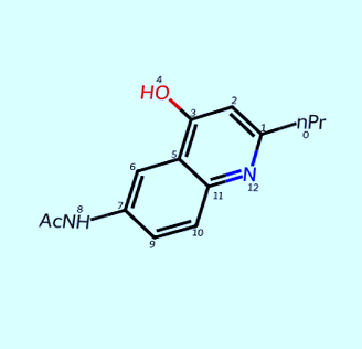 CCCc1cc(O)c2cc(NC(C)=O)ccc2n1